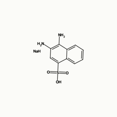 Nc1cc(S(=O)(=O)O)c2ccccc2c1N.[NaH]